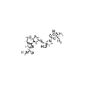 CC(C)(C)OC(=O)N1CCC(O)(C#Cc2ccc3c(c2)-c2nc(C(N)=O)cn2CCO3)C1